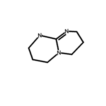 C1C[N]C2=NCCCN2C1